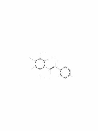 CCc1c(N)c(OC)c(OC)c(C(OC)=C(OC)c2ccccc2)c1N